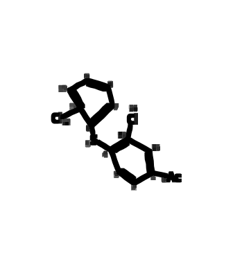 CC(=O)c1ccc(Sc2ccccc2Cl)c(Cl)c1